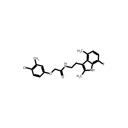 Cc1cc(OCC(=O)NCCc2c(C)[nH]c3c(F)ccc(C)c23)ccc1Cl